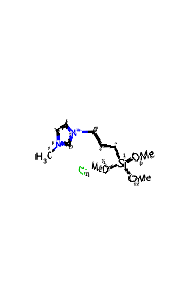 CO[Si](CCC[n+]1ccn(C)c1)(OC)OC.[Cl-]